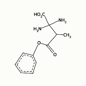 CC(C(=O)Oc1ccccc1)C(N)(N)C(=O)O